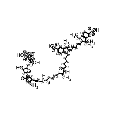 CC[N+]1=C(/C=C/C=C/C=C2/N(CCCCCC(=O)NC(C)CSSCCC(=O)NCC#Cc3cn([C@H]4C[C@@H](O)[C@@H](COP(=O)(O)OP(=O)(O)OP(=O)(O)O)O4)c(=O)nc3N)c3ccc(S(=O)(=O)O)cc3C2(C)C)C(C)(C)c2cc(S(=O)(=O)O)ccc21